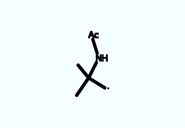 [CH2]C(C)(C)NC(C)=O